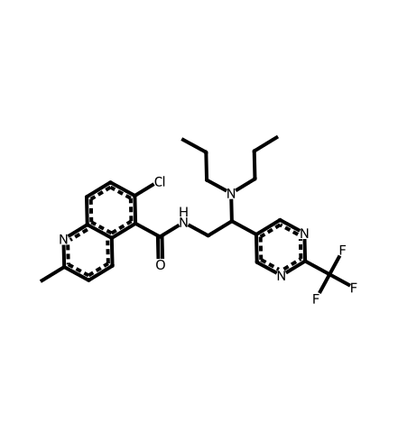 CCCN(CCC)C(CNC(=O)c1c(Cl)ccc2nc(C)ccc12)c1cnc(C(F)(F)F)nc1